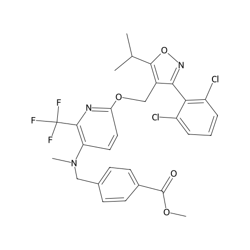 COC(=O)c1ccc(CN(C)c2ccc(OCc3c(-c4c(Cl)cccc4Cl)noc3C(C)C)nc2C(F)(F)F)cc1